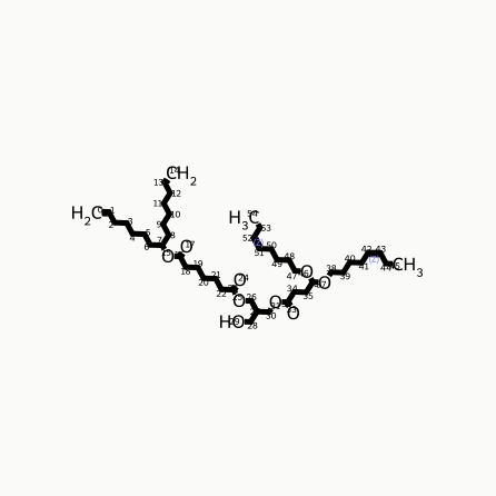 C=CCCCCCC(CCCCCC=C)OC(=O)CCCCCC(=O)OCC(CO)COC(=O)CCC(OCCCC/C=C\CC)OCCCC/C=C\CC